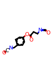 O=C=NCCC(=O)Oc1ccc(CN=C=O)cc1